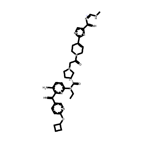 CCN(C(=O)[C@@H]1CCN(CC(=O)N2CC=C(c3ncc(C(=N)/N=C\NC)s3)CC2)C1)c1ccc(N)c(C(=N)c2ccc(OC3CCC3)nc2)n1